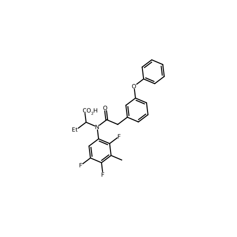 CCC(C(=O)O)N(C(=O)Cc1cccc(Oc2ccccc2)c1)c1cc(F)c(F)c(C)c1F